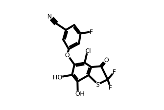 N#Cc1cc(F)cc(Oc2c(O)c(O)c3c(c2Cl)C(=O)C(F)(F)S3)c1